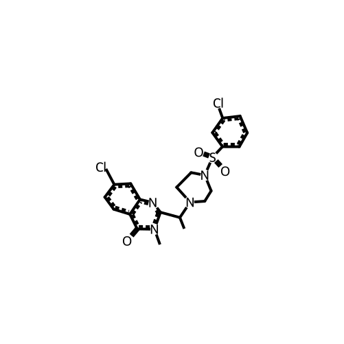 CC(c1nc2cc(Cl)ccc2c(=O)n1C)N1CCN(S(=O)(=O)c2cccc(Cl)c2)CC1